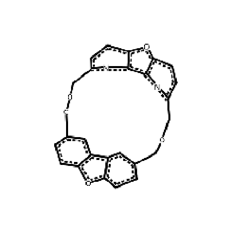 c1cc2oc3ccc4cc3c2cc1COCc1ccc2oc3ccc(nc3c2n1)COC4